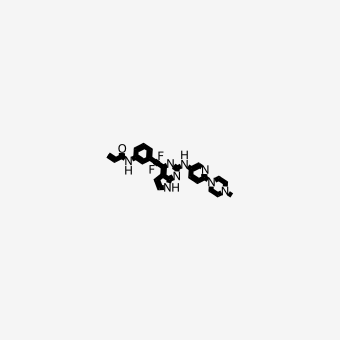 C=CC(=O)Nc1cccc(C(F)(F)c2nc(Nc3ccc(N4CCN(C)CC4)nc3)nc3[nH]ccc23)c1